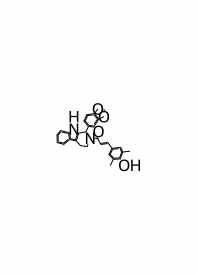 Cc1cc(/C=C/C(=O)N2CCc3c([nH]c4ccccc34)C2c2ccc3c(c2)OCO3)cc(C)c1O